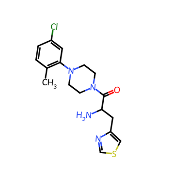 Cc1ccc(Cl)cc1N1CCN(C(=O)C(N)Cc2cscn2)CC1